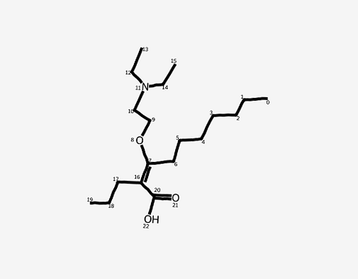 CCCCCCC/C(OCCN(CC)CC)=C(/CCC)C(=O)O